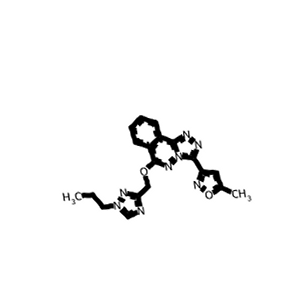 CCCn1cnc(COc2nn3c(-c4cc(C)on4)nnc3c3ccccc23)n1